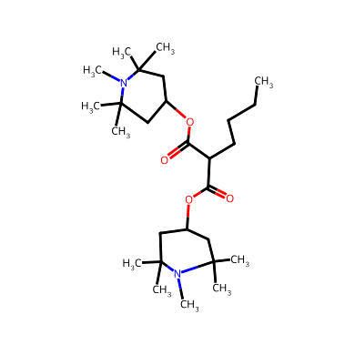 CCCCC(C(=O)OC1CC(C)(C)N(C)C(C)(C)C1)C(=O)OC1CC(C)(C)N(C)C(C)(C)C1